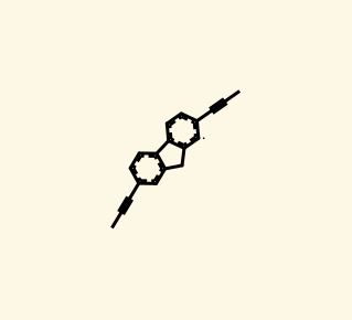 CC#Cc1[c]c2c(cc1)-c1ccc(C#CC)cc1C2